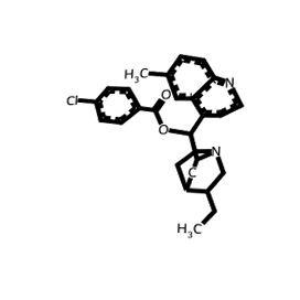 CCC1CN2CCC1CC2C(OC(=O)c1ccc(Cl)cc1)c1ccnc2ccc(C)cc12